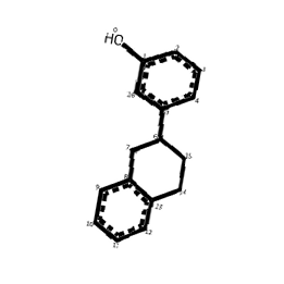 Oc1cccc(C2[C]c3ccccc3CC2)c1